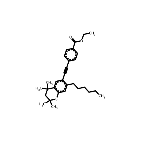 CCCCCCc1cc2c(cc1C#Cc1ccc(C(=O)OCC)cc1)C(C)(C)CC(C)(C)S2